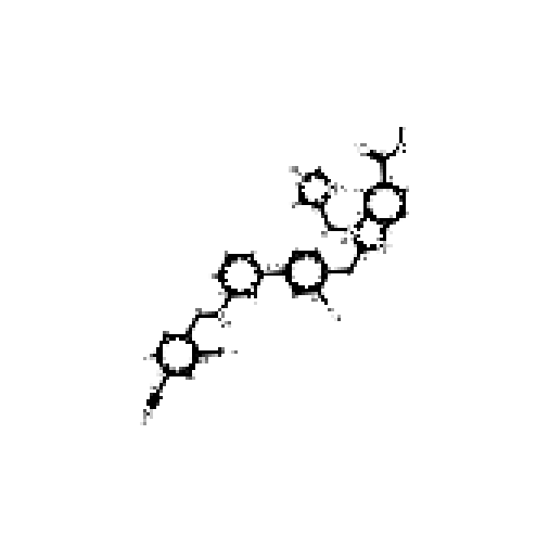 COC(=O)c1ccc2nc(Cc3ccc(-c4cccc(OCc5ccc(C#N)cc5F)n4)cc3F)n(Cc3cocn3)c2c1